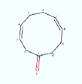 O=C1CC=CCCC=CCC1